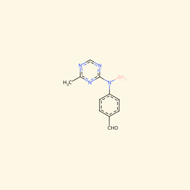 BN(c1ccc(C=O)cc1)c1ncnc(C)n1